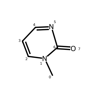 Cn1c[c]cnc1=O